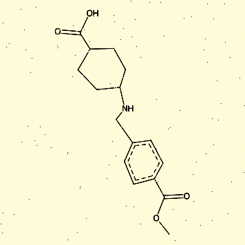 COC(=O)c1ccc(CNC2CCC(C(=O)O)CC2)cc1